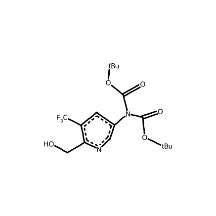 CC(C)(C)OC(=O)N(C(=O)OC(C)(C)C)c1cnc(CO)c(C(F)(F)F)c1